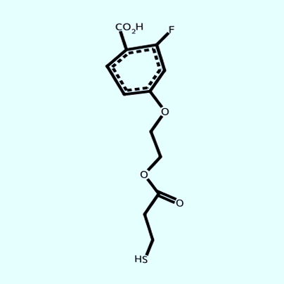 O=C(CCS)OCCOc1ccc(C(=O)O)c(F)c1